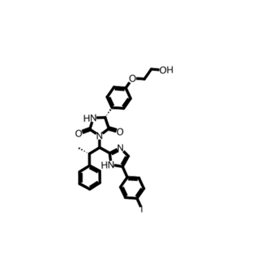 C[C@@H](c1ccccc1)C(c1ncc(-c2ccc(I)cc2)[nH]1)N1C(=O)N[C@H](c2ccc(OCCO)cc2)C1=O